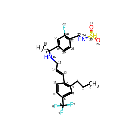 CCCc1cc(C(F)(F)F)ccc1C=CCNC(C)c1ccc(CN[SH](=O)=O)c(F)c1